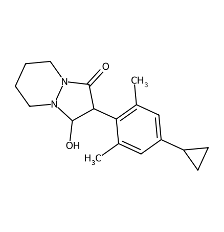 Cc1cc(C2CC2)cc(C)c1C1C(=O)N2CCCCN2C1O